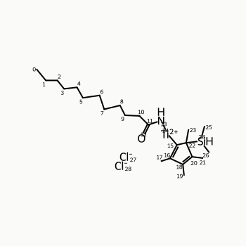 CCCCCCCCCCCC(=O)[NH][Ti+2][C]1=C(C)C(C)=C(C)C1(C)[SiH](C)C.[Cl-].[Cl-]